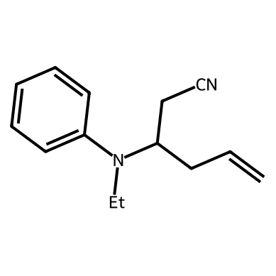 C=CCC(CC#N)N(CC)c1ccccc1